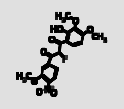 COc1cc(C(=O)C(F)C(=O)c2ccc(OC)c(OC)c2O)ccc1[N+](=O)[O-]